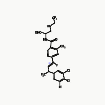 Cc1cc(/C(F)=C/C(c2cc(Cl)c(Cl)c(Cl)c2)C(F)(F)F)ccc1C(=O)NC(C=O)CNCC(F)(F)F